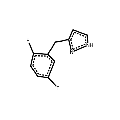 Fc1ccc(F)c(Cc2cc[nH]n2)c1